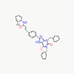 CC(=O)c1ccccc1NC(=O)/C=C/c1ccc(-c2nc3c([nH]2)c(=O)n(Cc2ccccc2)c(=O)n3Cc2ccccc2)cc1